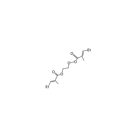 CC/C=C(\C)C(=O)OCCOOC(=O)/C(C)=C/CC